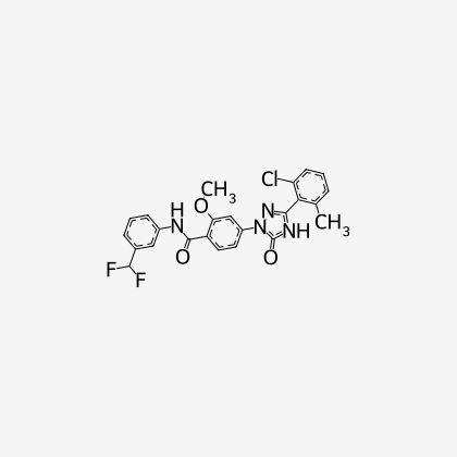 COc1cc(-n2nc(-c3c(C)cccc3Cl)[nH]c2=O)ccc1C(=O)Nc1cccc(C(F)F)c1